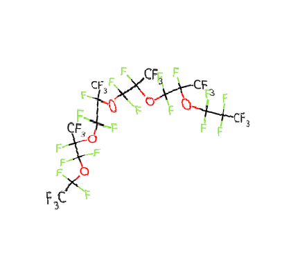 FC(F)(F)C(F)(F)OC(F)(F)C(F)(OC(F)(F)C(F)(OC(F)(F)C(F)(OC(F)(F)C(F)(OC(F)(F)C(F)(F)C(F)(F)F)C(F)(F)F)C(F)(F)F)C(F)(F)F)C(F)(F)F